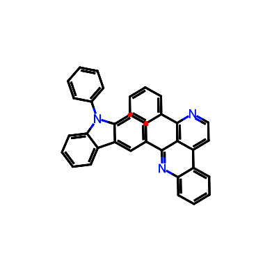 c1ccc(-c2nccc3c2c(-c2ccc4c(c2)c2ccccc2n4-c2ccccc2)nc2ccccc23)cc1